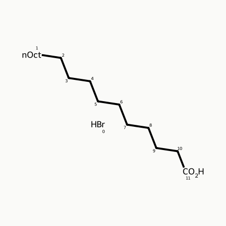 Br.CCCCCCCCCCCCCCCCCC(=O)O